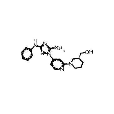 Nc1nc(Nc2ccccc2)nn1-c1ccnc(N2CCC[C@H](CO)C2)c1